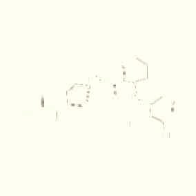 Cc1c(Cl)cccc1Nc1ccccc1C(=O)Nc1ccc(C(O)C(=O)O)cc1